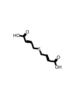 O=C(O)C=CCSCC=CC(=O)O